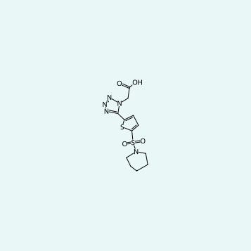 O=C(O)Cn1nnnc1-c1ccc(S(=O)(=O)N2CCCCC2)s1